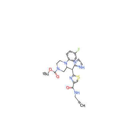 C#CCNC(=O)c1csc(C(c2ncc[nH]2)C2CN(C(=O)OC(C)(C)C)CCN2c2ccc(F)cc2)n1